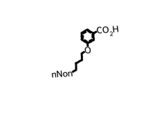 CCCCCCCCCCCCCOc1cccc(C(=O)O)c1